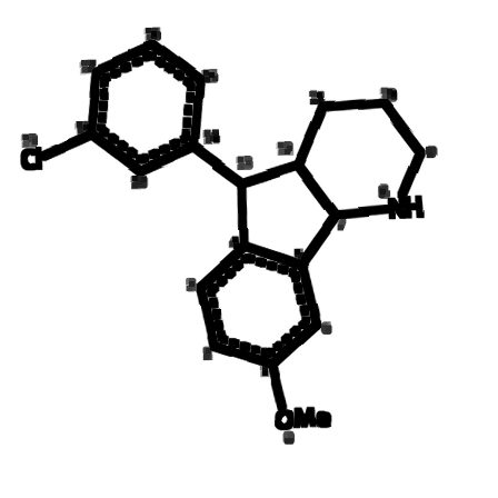 COc1ccc2c(c1)C1NCCCC1C2c1cccc(Cl)c1